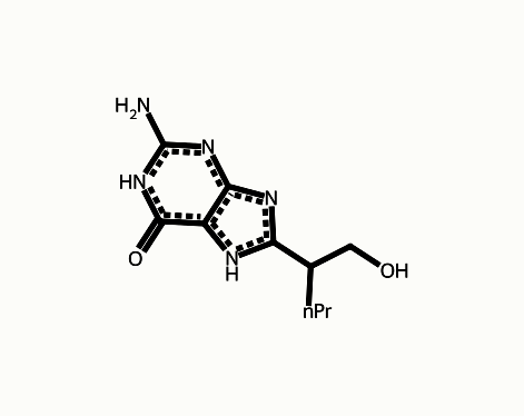 CCCC(CO)c1nc2nc(N)[nH]c(=O)c2[nH]1